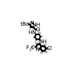 CC(C)(C)c1cc(C(=O)NC2CCC(Nc3cc(C(F)(F)F)nc4ccc(Cl)cc34)CC2)[nH]n1